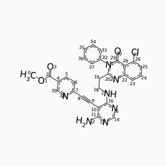 COC(=O)c1ccc(C#Cc2c(N)ncnc2NCCc2nc3cccc(Cl)c3c(=O)n2-c2ccccc2)nc1